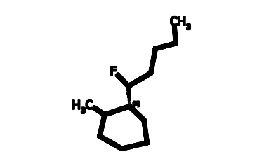 CCCCC(F)[C@@H]1CCCCC1C